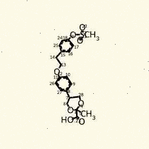 CC1(C(=O)O)OCC(c2ccc(OCCc3ccc(OS(C)(=O)=O)cc3)cc2)CO1